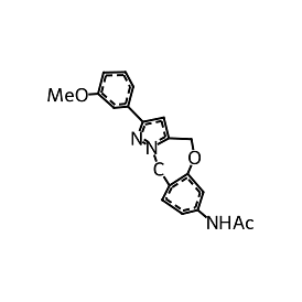 COc1cccc(-c2cc3n(n2)Cc2ccc(NC(C)=O)cc2OC3)c1